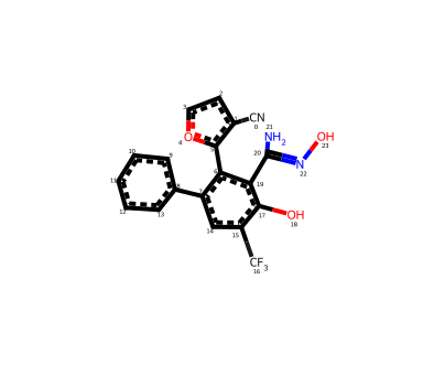 N#Cc1ccoc1-c1c(-c2ccccc2)cc(C(F)(F)F)c(O)c1/C(N)=N/O